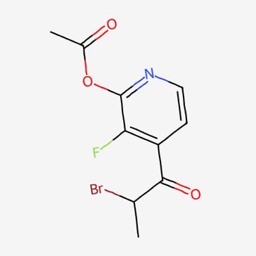 CC(=O)Oc1nccc(C(=O)C(C)Br)c1F